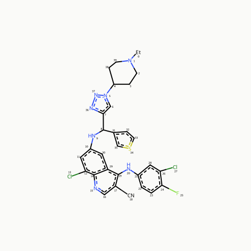 CCN1CCC(n2cc(C(Nc3cc(Cl)c4ncc(C#N)c(Nc5ccc(F)c(Cl)c5)c4c3)c3ccsc3)nn2)CC1